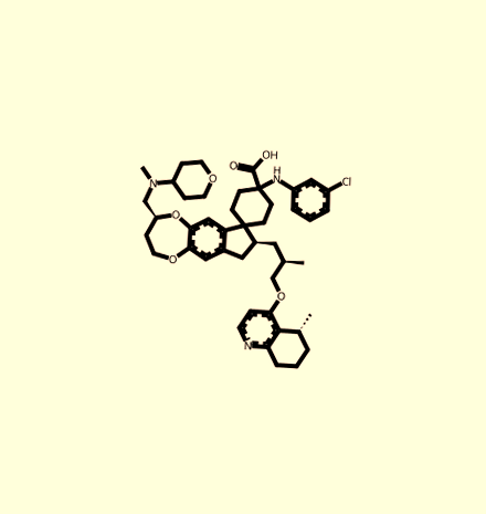 C[C@@H](COc1ccnc2c1[C@H](C)CCC2)C[C@H]1Cc2cc3c(cc2C12CCC(Nc1cccc(Cl)c1)(C(=O)O)CC2)O[C@H](CN(C)C1CCOCC1)CCO3